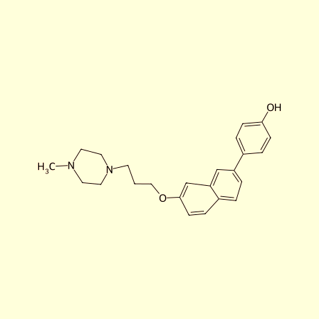 CN1CCN(CCCOc2ccc3ccc(-c4ccc(O)cc4)cc3c2)CC1